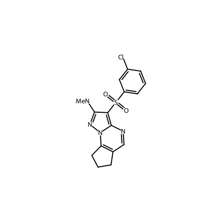 CNc1nn2c3c(cnc2c1S(=O)(=O)c1cccc(Cl)c1)CCC3